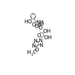 COc1ncnc2c1ncn2[C@@H]1O[C@H](COS(=O)(=O)NC(=O)c2ccccc2O)[C@@H](O)[C@H]1O